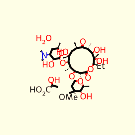 CC(O)C(=O)O.CC[C@H]1OC(=O)[C@H](C)[C@@H](O[C@H]2C[C@@](C)(OC)[C@@H](O)[C@H](C)O2)[C@H](C)[C@@H](O[C@@H]2O[C@H](C)C[C@H](N(C)C)[C@H]2O)[C@](C)(O)C[C@@H](C)C(=O)[C@H](C)[C@@H](O)[C@]1(C)O.O